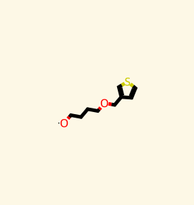 [O]CCCCOCc1ccsc1